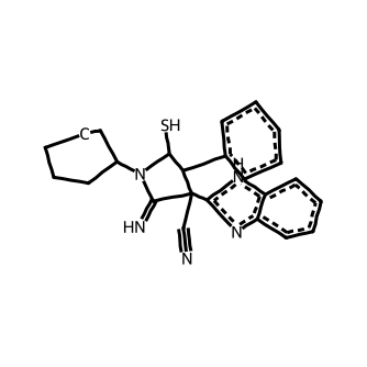 N#CC1(c2nc3ccccc3[nH]2)C(=N)N(C2CCCCC2)C(S)C1c1ccccc1